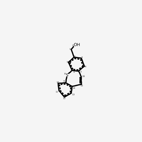 OCc1ccc2c(c1)Sc1ccccc1C=C2